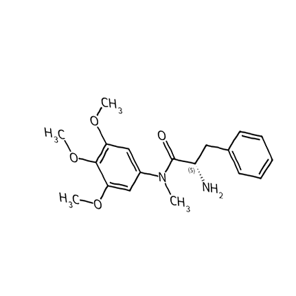 COc1cc(N(C)C(=O)[C@@H](N)Cc2ccccc2)cc(OC)c1OC